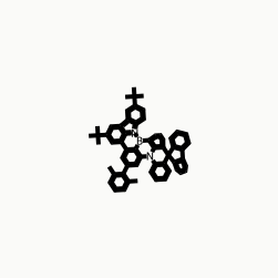 Cc1cccc(C)c1-c1cc2c3c(c1)N1c4ccccc4C4(c5ccccc5-c5ccccc54)c4cccc(c41)B3n1c3ccc(C(C)(C)C)cc3c3cc(C(C)(C)C)cc-2c31